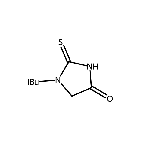 CCC(C)N1CC(=O)NC1=S